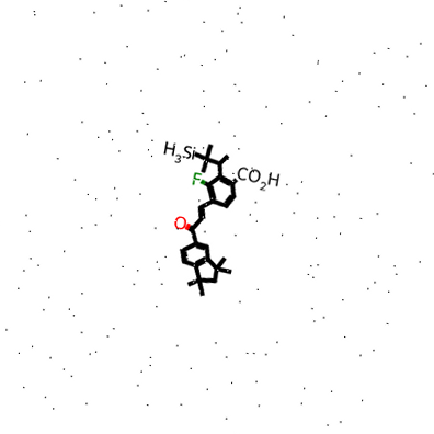 CC(c1c(C(=O)O)ccc(C=CC(=O)c2ccc3c(c2)C(C)(C)CC3(C)C)c1F)C(C)(C)[SiH3]